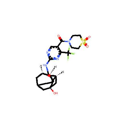 O=C(c1cnc(N[C@@H]2[C@@H]3CC[C@@]4(O)CC(C3)C[C@@H]2C4)nc1C(F)(F)F)N1CCS(=O)(=O)CC1